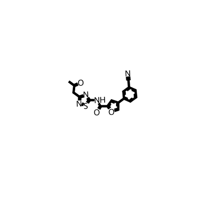 CC(=O)Cc1nsc(NC(=O)c2cc(-c3cccc(C#N)c3)co2)n1